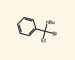 [CH2]CCCC(Br)(CC)c1ccccc1